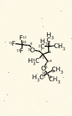 CC(C)(C)CC(C)(COCC(F)(F)F)COC(C)(C)C